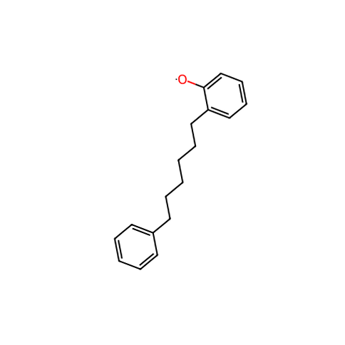 [O]c1ccccc1CCCCCCc1ccccc1